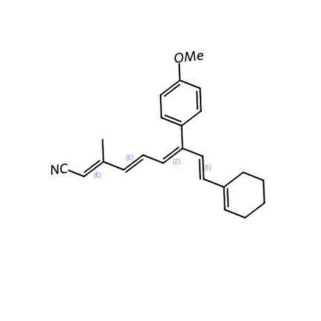 COc1ccc(C(=C\C=C\C(C)=C\C#N)/C=C/C2=CCCCC2)cc1